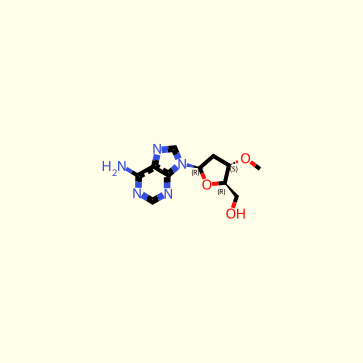 CO[C@H]1C[C@H](n2cnc3c(N)ncnc32)O[C@@H]1CO